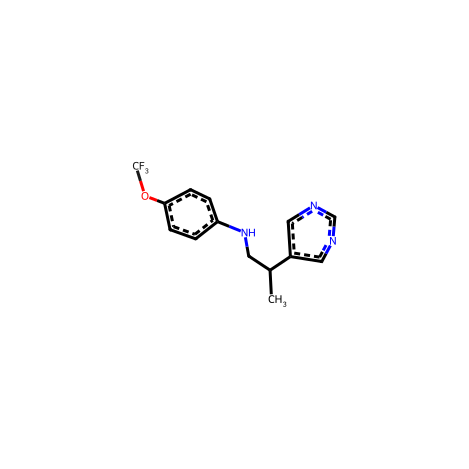 CC(CNc1ccc(OC(F)(F)F)cc1)c1cncnc1